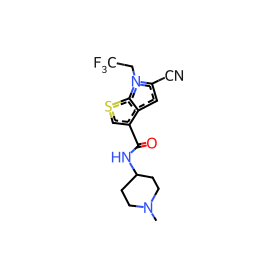 CN1CCC(NC(=O)c2csc3c2cc(C#N)n3CC(F)(F)F)CC1